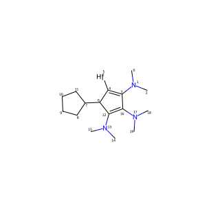 CN(C)C1=[C]([Hf])C(C2CCCC2)C(N(C)C)=C1N(C)C